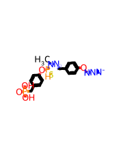 CN(/N=C/c1ccc(ON=[N+]=[N-])cc1)[PH](=S)Oc1ccc(CP(=O)(O)O)cc1